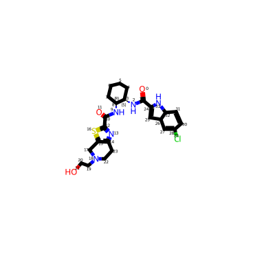 O=C(N[C@H]1CCCC[C@H]1NC(=O)c1nc2c(s1)CN(CCO)CC2)C1=CC2C=C(Cl)C=CC2N1